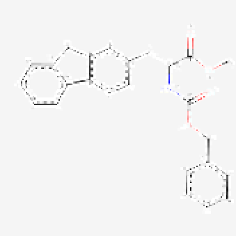 COC(=O)[C@@H](Cc1ccc2c(c1)Cc1ccccc1-2)NC(=O)OCc1ccccc1